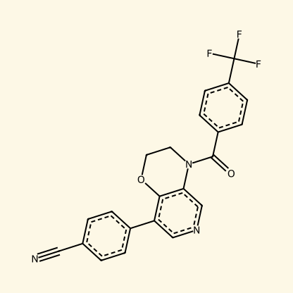 N#Cc1ccc(-c2cncc3c2OCCN3C(=O)c2ccc(C(F)(F)F)cc2)cc1